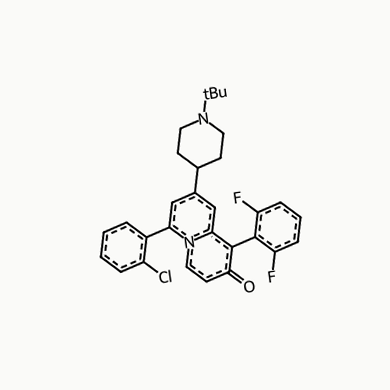 CC(C)(C)N1CCC(c2cc(-c3ccccc3Cl)n3ccc(=O)c(-c4c(F)cccc4F)c3c2)CC1